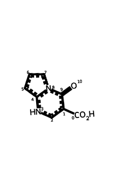 O=C(O)c1c[nH]c2cccn2c1=O